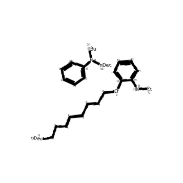 CCCCCCCCCCCCCCCCCCOc1ccccc1NCC.CCCCCCCCCCN(CCCC)c1ccccc1